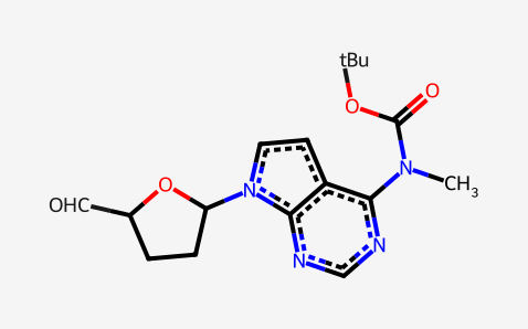 CN(C(=O)OC(C)(C)C)c1ncnc2c1ccn2C1CCC(C=O)O1